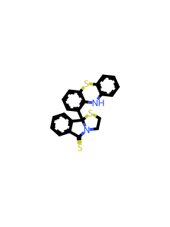 S=C1c2ccccc2C2(c3cccc4c3Nc3ccccc3S4)SCCN12